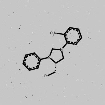 CC(C)C[C@H]1CN(c2ccccc2[N+](=O)[O-])CN1c1ccccc1